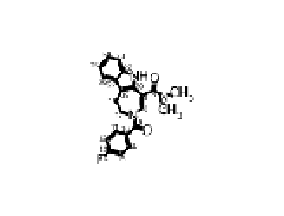 CN(C)C(=O)C1=CN(C(=O)c2ccc(F)cc2)CCc2c1[nH]c1ccccc21